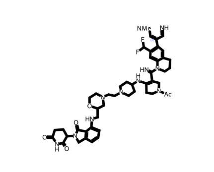 CN/C=C(\C=N)c1cc2c(cc1C(F)F)N(C(=N)C1=C(NC3CCN(CCN4CCOC(CNc5cccc6c5C(=O)N(C5CCC(=O)NC5=O)C6)C4)CC3)CCN(C(C)=O)C1)CCC2